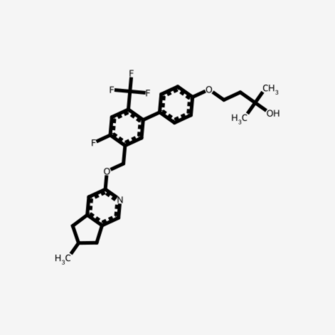 CC1Cc2cnc(OCc3cc(-c4ccc(OCCC(C)(C)O)cc4)c(C(F)(F)F)cc3F)cc2C1